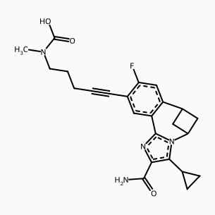 CN(CCCC#Cc1cc2c(cc1F)C1CC(C1)n1c-2nc(C(N)=O)c1C1CC1)C(=O)O